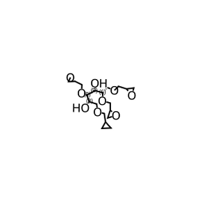 O[C@@H]([C@H](OCC1CO1)[C@H](O)COCC1CC1)[C@H](COCC1CO1)OCC1CO1